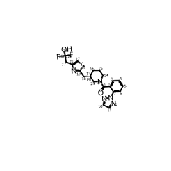 O=C(c1ccccc1-n1nccn1)N1CCC[C@H](Cc2nc(CC(O)(F)F)cs2)C1